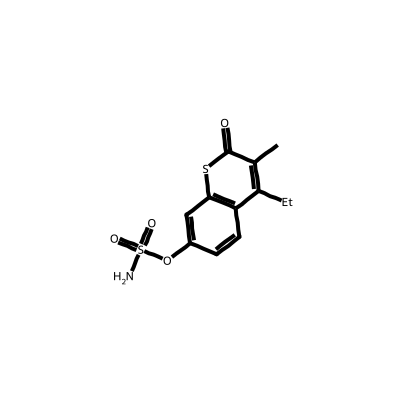 CCc1c(C)c(=O)sc2cc(OS(N)(=O)=O)ccc12